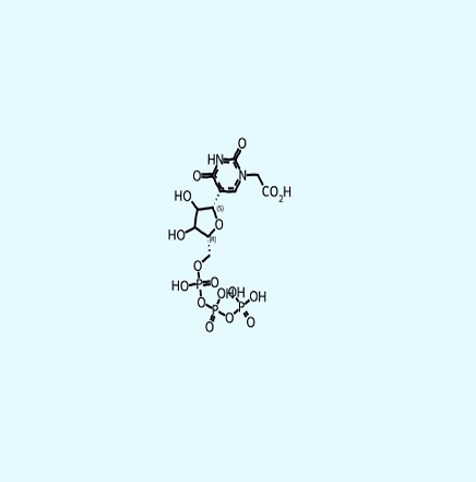 O=C(O)Cn1cc([C@@H]2O[C@H](COP(=O)(O)OP(=O)(O)OP(=O)(O)O)C(O)C2O)c(=O)[nH]c1=O